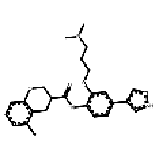 Cc1cccc2c1CC(C(=O)Nc1ccc(-c3cn[nH]c3)cc1OCCCN(C)C)CO2